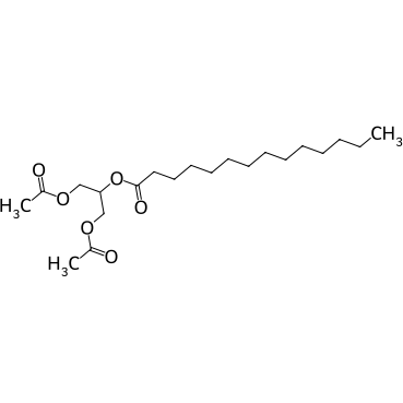 CCCCCCCCCCCCCC(=O)OC(COC(C)=O)COC(C)=O